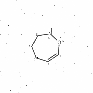 [CH]1CCC=CON1